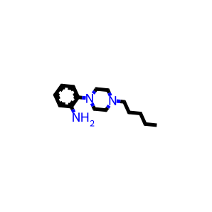 CCCCCN1CCN(c2ccccc2N)CC1